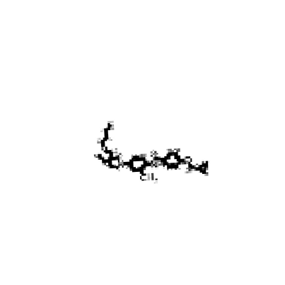 Cc1cc(N2CCC3(CCN(CCCF)C3)C2)ccc1NC(=O)c1ccc(OCC2CC2)cc1